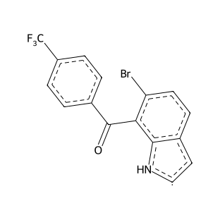 O=C(c1ccc(C(F)(F)F)cc1)c1c(Br)ccc2c[c][nH]c12